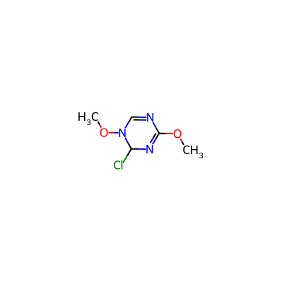 COC1=NC(Cl)N(OC)C=N1